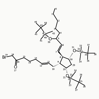 CCCCCC(C=C[C@@H]1[C@@H](CC=CCCCC(=O)CBr)[C@@H](O[Si](C)(C)C(C)(C)C)C[C@H]1O[Si](C)(C)C(C)(C)C)O[Si](C)(C)C(C)(C)C